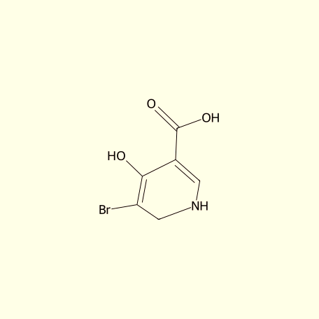 O=C(O)C1=CNCC(Br)=C1O